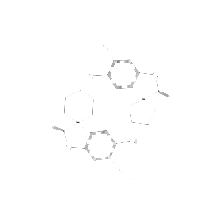 Nc1cc2c(cc1[N+](=O)[O-])NC(=O)C21CCCC1.Nc1cc2c(cc1[N+](=O)[O-])NC(=O)C21CCCCC1